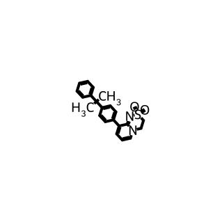 CC(C)(c1ccccc1)c1ccc(C2=CC=CN3CCS(=O)(=O)N=C23)cc1